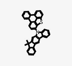 CC1(C)c2ccccc2-c2cc3c4ccccc4n(-c4ccc5c6ccccc6c6cccc7sc4c5c76)c3cc21